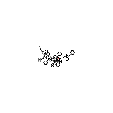 N#CCCOP(=O)(OCCC#N)OCC[C@@H](OC(=O)c1ccccc1)C(OC(=O)c1ccccc1)[C@@H](OC(=O)c1ccccc1)[C@H](O)OCCCCC(=O)OCc1ccccc1